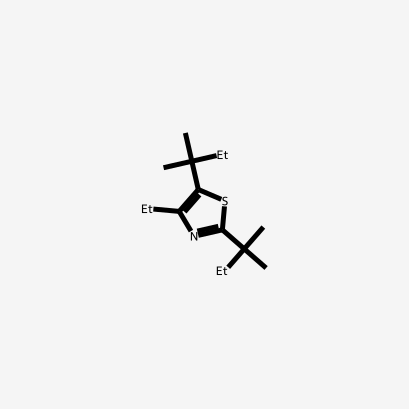 CCc1nc(C(C)(C)CC)sc1C(C)(C)CC